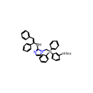 CCCCCCc1cccc([Si](Cn2ccnc2BC(=Cc2ccccc2)c2ccccc2)(c2ccccc2)c2ccccc2)c1